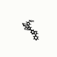 N=CNC(=O)c1[nH]c(-c2ccc3c(c2)ncn3C2CCCCC2)cc1N1CC[C@H](CO)C1